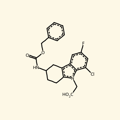 O=C(O)Cn1c2c(c3cc(F)cc(Cl)c31)CC(NC(=O)OCc1ccccc1)CC2